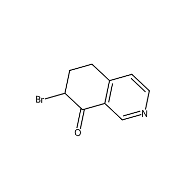 O=C1c2cnccc2CCC1Br